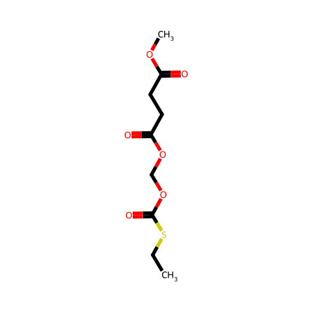 CCSC(=O)OCOC(=O)CCC(=O)OC